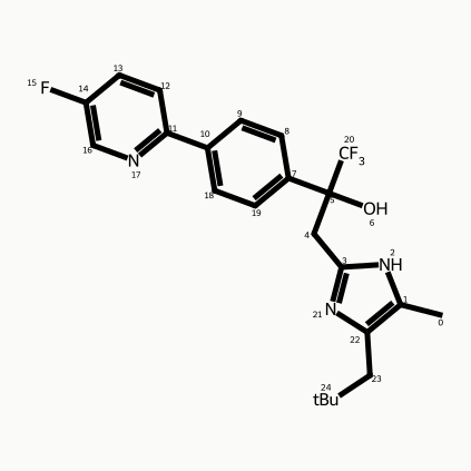 Cc1[nH]c(CC(O)(c2ccc(-c3ccc(F)cn3)cc2)C(F)(F)F)nc1CC(C)(C)C